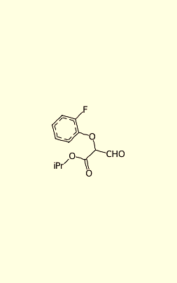 CC(C)OC(=O)C(C=O)Oc1ccccc1F